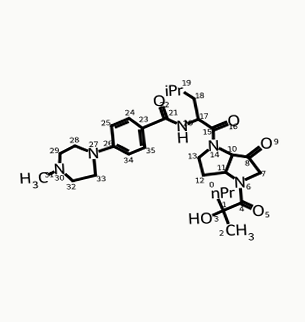 CCCC(C)(O)C(=O)N1CC(=O)C2C1CCN2C(=O)C(CC(C)C)NC(=O)c1ccc(N2CCN(C)CC2)cc1